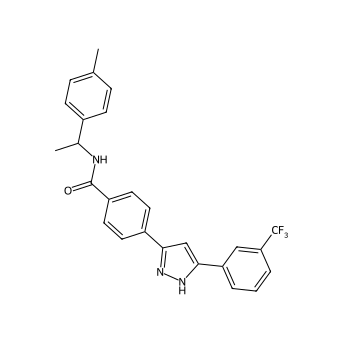 Cc1ccc(C(C)NC(=O)c2ccc(-c3cc(-c4cccc(C(F)(F)F)c4)[nH]n3)cc2)cc1